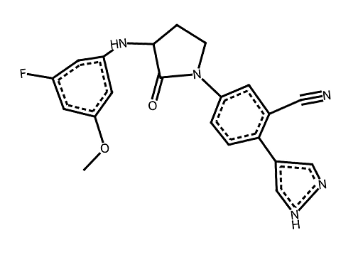 COc1cc(F)cc(NC2CCN(c3ccc(-c4cn[nH]c4)c(C#N)c3)C2=O)c1